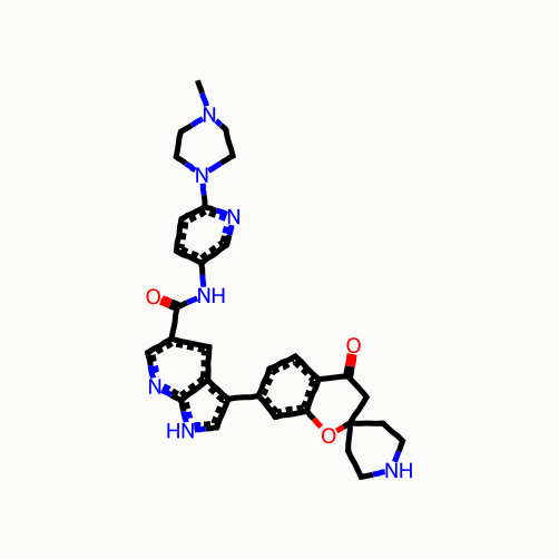 CN1CCN(c2ccc(NC(=O)c3cnc4[nH]cc(-c5ccc6c(c5)OC5(CCNCC5)CC6=O)c4c3)cn2)CC1